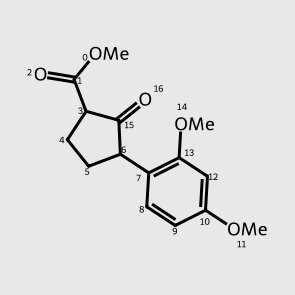 COC(=O)C1CCC(c2ccc(OC)cc2OC)C1=O